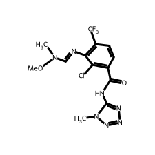 CON(C)/C=N/c1c(C(F)(F)F)ccc(C(=O)Nc2nnnn2C)c1Cl